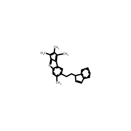 CC1=C(C)C(C)=C2C1=Nc1cc(C)c(CCC3C=Cc4ccccc43)cc12